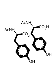 CC(=O)N[C@@H](Cc1ccc(O)cc1)C(=O)O.CC(=O)N[C@@H](Cc1ccc(O)cc1)C(=O)O